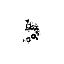 CCc1cc(N2CCN[C@@H](C)C2)ccc1Nc1ncc(C(F)(F)F)c(-c2cc3c(s2)C(=O)N(C2CC2)CCS3(=O)=O)n1